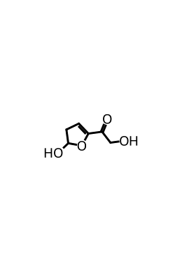 O=C(CO)C1=CCC(O)O1